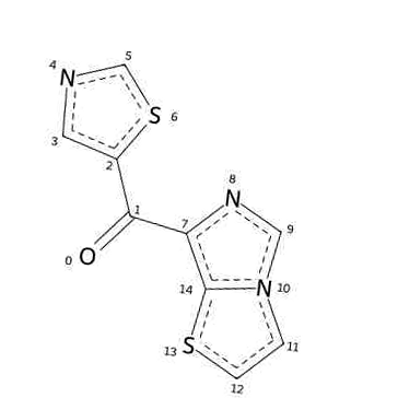 O=C(c1cncs1)c1ncn2ccsc12